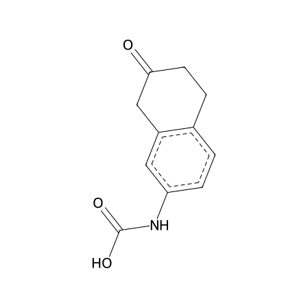 O=C1CCc2ccc(NC(=O)O)cc2C1